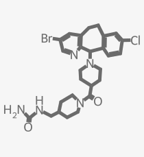 NC(=O)NCC1CCN(C(=O)C2CCN(C3c4ccc(Cl)cc4CCc4cc(Br)cnc43)CC2)CC1